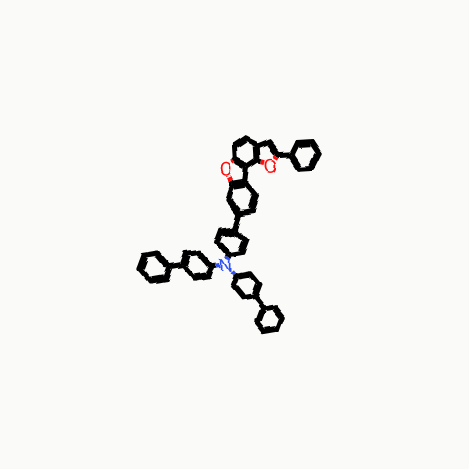 c1ccc(-c2ccc(N(c3ccc(-c4ccccc4)cc3)c3ccc(-c4ccc5c(c4)oc4ccc6cc(-c7ccccc7)oc6c45)cc3)cc2)cc1